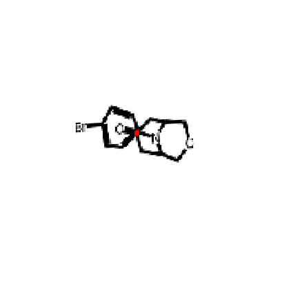 O=C1CC2COCC(C1)N2c1ccc(Br)cc1